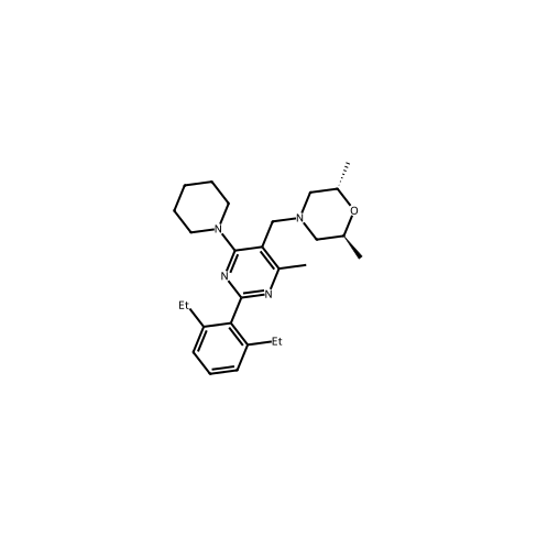 CCc1cccc(CC)c1-c1nc(C)c(CN2C[C@H](C)O[C@@H](C)C2)c(N2CCCCC2)n1